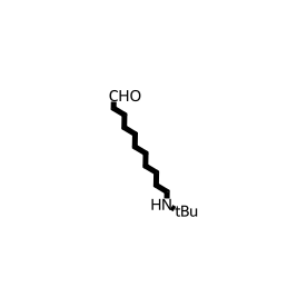 CC(C)(C)NCCCCCCCCCCC=O